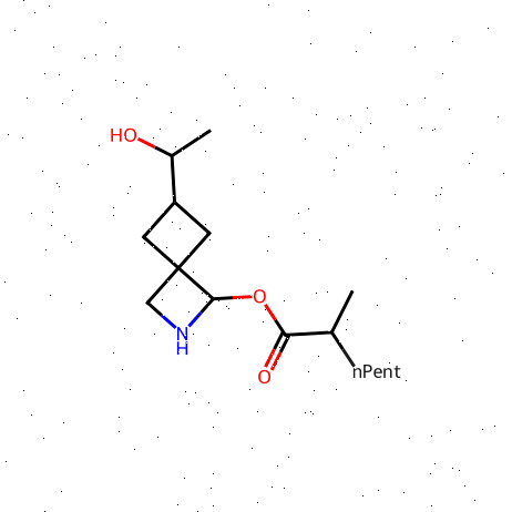 CCCCCC(C)C(=O)OC1NCC12CC(C(C)O)C2